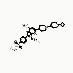 Cc1cc(C2CCN(C3CCN(C4CCC4)CC3)CC2)nc2c1nc(-c1ccc(S(C)(=O)=O)cc1)n2C